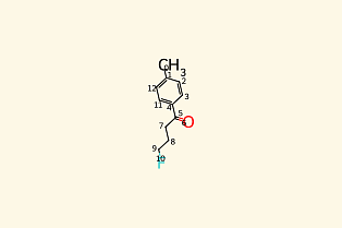 Cc1ccc(C(=O)CCCF)cc1